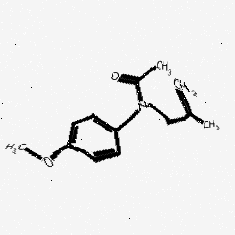 C=C(C)CN(C(C)=O)c1ccc(OC)cc1